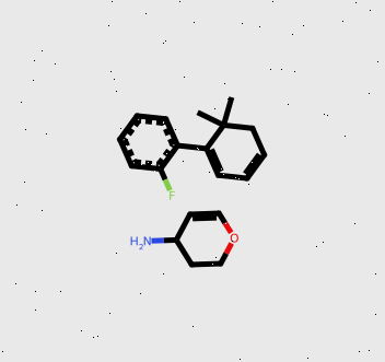 CC1(C)CC=CC=C1c1ccccc1F.NC1C=COCC1